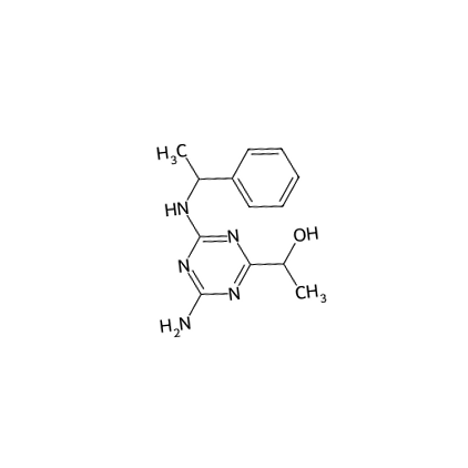 CC(O)c1nc(N)nc(NC(C)c2ccccc2)n1